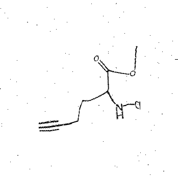 C#CCCC(NCl)C(=O)OC